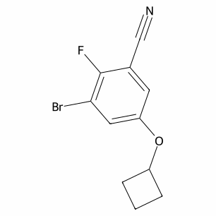 N#Cc1cc(OC2CCC2)cc(Br)c1F